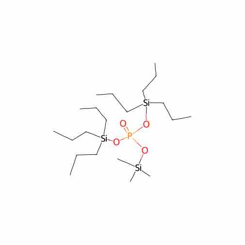 CCC[Si](CCC)(CCC)OP(=O)(O[Si](C)(C)C)O[Si](CCC)(CCC)CCC